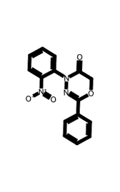 O=C1COC(c2ccccc2)=NN1c1ccccc1[N+](=O)[O-]